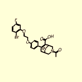 CC(=O)N1CC2CC(c3ccc(OCCOc4cc(F)ccc4Br)cc3)=C(C(=O)O)C(C1)N2